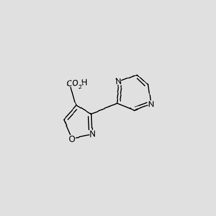 O=C(O)c1conc1-c1cnccn1